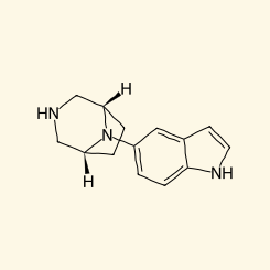 c1cc2cc(N3[C@@H]4CC[C@H]3CNC4)ccc2[nH]1